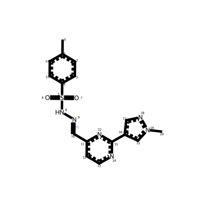 Cc1ccc(S(=O)(=O)N/N=C/c2ccnc(-c3cnn(C)c3)n2)cc1